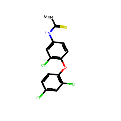 CNC(=S)Nc1ccc(Oc2ccc(Cl)cc2Cl)c(Cl)c1